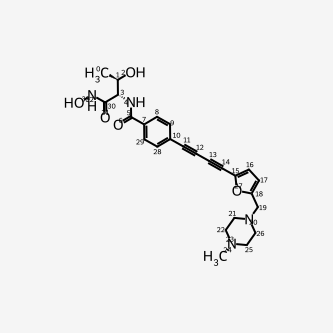 C[C@@H](O)[C@H](NC(=O)c1ccc(C#CC#Cc2ccc(CN3CCN(C)CC3)o2)cc1)C(=O)NO